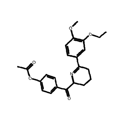 CCOc1cc(C2=NC(C(=O)c3ccc(OC(C)=O)cc3)CCC2)ccc1OC